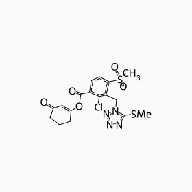 CSc1nnnn1Cc1c(S(C)(=O)=O)ccc(C(=O)OC2=CC(=O)CCC2)c1Cl